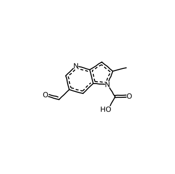 Cc1cc2ncc(C=O)cc2n1C(=O)O